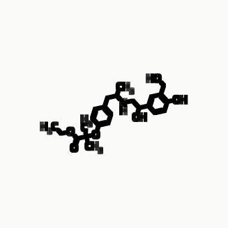 CCOC(=O)C(C)(C)Oc1ccc(CC(C)NCC(O)c2ccc(O)c(CO)c2)cc1